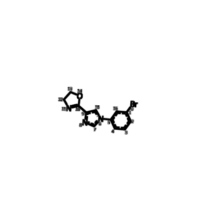 Brc1cccc(-n2cnc(C3=NCCO3)c2)c1